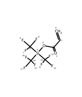 C=CC(=O)O[Si](C(F)(F)F)(C(F)(F)F)C(F)(F)F